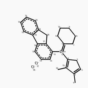 CC1=CC[C]([Zr+2](=[C]2CCCCC2)[c]2cccc3c2Cc2ccccc2-3)=C1C.[Cl-].[Cl-]